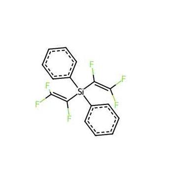 FC(F)=C(F)[Si](C(F)=C(F)F)(c1ccccc1)c1ccccc1